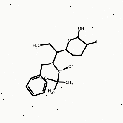 CCC([C@@H]1CCC(I)C(O)O1)N(Cc1ccccc1)[S@@+]([O-])C(C)(C)C